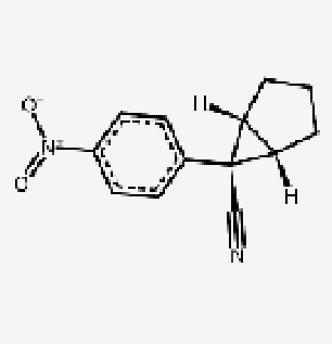 N#C[C@@]1(c2ccc([N+](=O)[O-])cc2)[C@@H]2CCC[C@@H]21